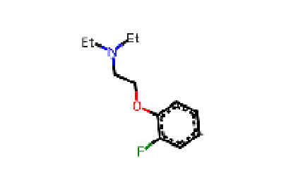 CCN(CC)CCOc1cc[c]cc1F